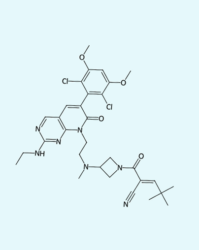 CCNc1ncc2cc(-c3c(Cl)c(OC)cc(OC)c3Cl)c(=O)n(CCN(C)C3CN(C(=O)C(C#N)=CC(C)(C)C)C3)c2n1